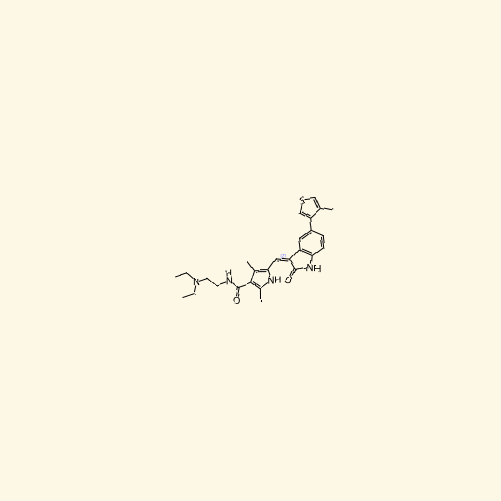 CCN(CC)CCNC(=O)c1c(C)[nH]c(/C=C2\C(=O)Nc3ccc(-c4cscc4C)cc32)c1C